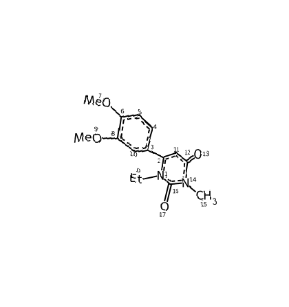 CCn1c(-c2ccc(OC)c(OC)c2)cc(=O)n(C)c1=O